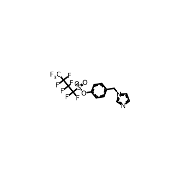 O=S(=O)(Oc1ccc(Cn2ccnc2)cc1)C(F)(F)C(F)(F)C(F)(F)C(F)(F)F